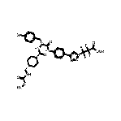 COC(=O)C(F)(F)C(F)(F)n1cc(-c2ccc(NC(=O)[C@H](Cc3ccc(Br)cc3)NC(=O)[C@H]3CC[C@H](CNC(=O)OC(C)(C)C)CC3)cc2)nn1